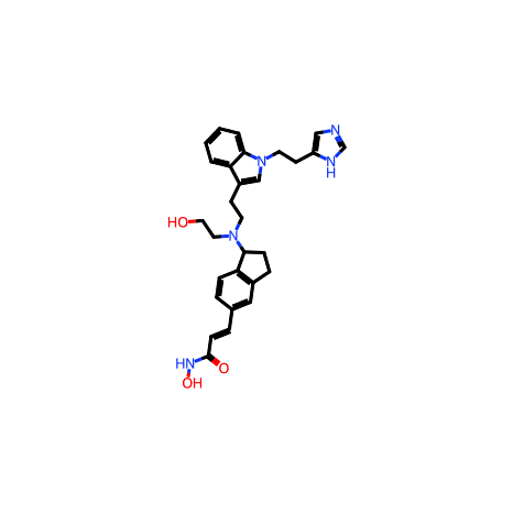 O=C(/C=C/c1ccc2c(c1)CCC2N(CCO)CCc1cn(CCc2cnc[nH]2)c2ccccc12)NO